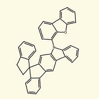 c1ccc2c(c1)CCC21c2ccccc2-c2cc3c4ccccc4n(-c4cccc5c4oc4ccccc45)c3cc21